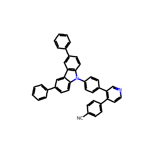 N#Cc1ccc(-c2ccncc2-c2ccc(-n3c4ccc(-c5ccccc5)cc4c4cc(-c5ccccc5)ccc43)cc2)cc1